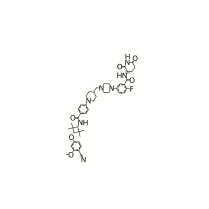 COc1cc(O[C@H]2C(C)(C)[C@H](NC(=O)c3ccc(N4CCC(CN5CCN(c6ccc(F)c(C(=O)N[C@H]7CCC(=O)NC7=O)c6)CC5)CC4)cc3)C2(C)C)ccc1C#N